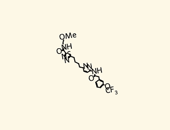 COCCNC(=O)c1nnc(CCCCc2ccc(NC(=O)Cc3cccc(OC(F)(F)F)c3)nn2)s1